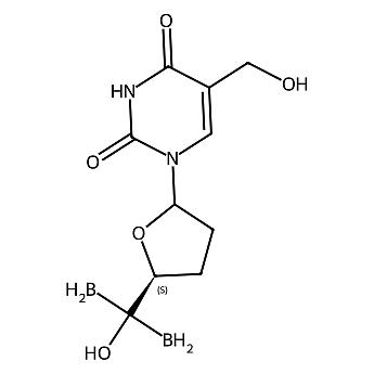 BC(B)(O)[C@@H]1CCC(n2cc(CO)c(=O)[nH]c2=O)O1